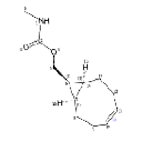 CNC(=O)OC[C@@H]1[C@@H]2CC/C=C\CC[C@@H]21